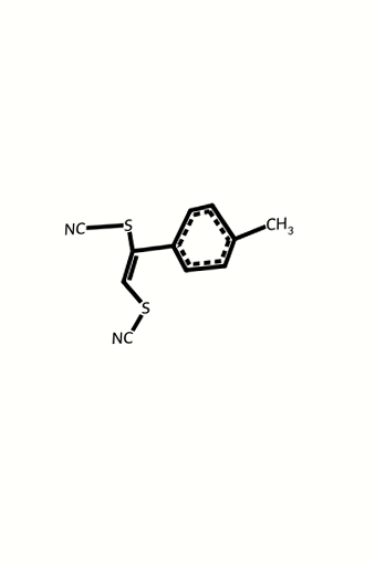 Cc1ccc(/C(=C\SC#N)SC#N)cc1